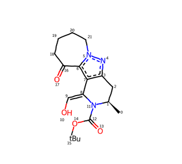 C[C@@H]1Cc2nn3c(c2C(=CO)N1C(=O)OC(C)(C)C)C(=O)CCCC3